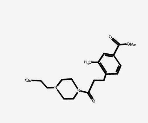 COC(=O)c1ccc(CCC(=O)N2CCN(CCC(C)(C)C)CC2)c(C)c1